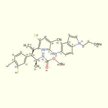 C=C(c1nc(Nc2ccc3c(ccn3CCOC)c2)c(C#N)cc1F)[C@H](c1ccc(I)c(F)c1)[C@H](C)NC(=O)OC(C)(C)C